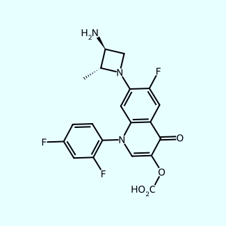 C[C@@H]1[C@@H](N)CN1c1cc2c(cc1F)c(=O)c(OC(=O)O)cn2-c1ccc(F)cc1F